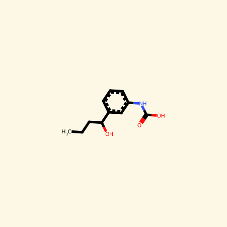 CCCC(O)c1cccc(NC(=O)O)c1